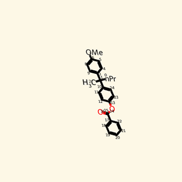 CCCC(C)(c1ccc(OC)cc1)c1ccc(OC(=O)c2ccccc2)cc1